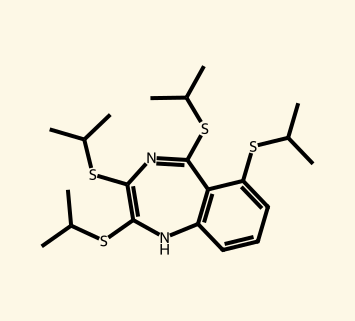 CC(C)SC1=NC(SC(C)C)=C(SC(C)C)Nc2cccc(SC(C)C)c21